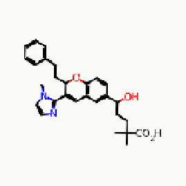 Cn1ccnc1C1=Cc2cc(C(O)CCC(C)(C)C(=O)O)ccc2OC1CCc1ccccc1